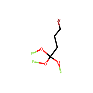 FOC(CCCBr)(OF)OF